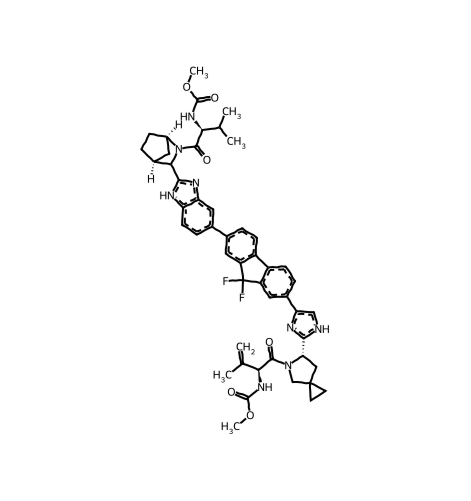 C=C(C)[C@H](NC(=O)OC)C(=O)N1CC2(CC2)C[C@H]1c1nc(-c2ccc3c(c2)C(F)(F)c2cc(-c4ccc5[nH]c(C6[C@H]7CC[C@H](C7)N6C(=O)[C@@H](NC(=O)OC)C(C)C)nc5c4)ccc2-3)c[nH]1